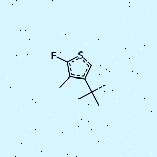 Cc1c(C(C)(C)C)csc1F